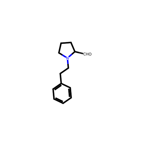 O=CC1CCCN1CCc1ccccc1